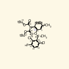 CN/C(=C(\C=C(C)O)O[C@H](C)c1c(Cl)ccc(F)c1Cl)N(C(=O)OC(C)(C)C)C(=O)OC(C)(C)C